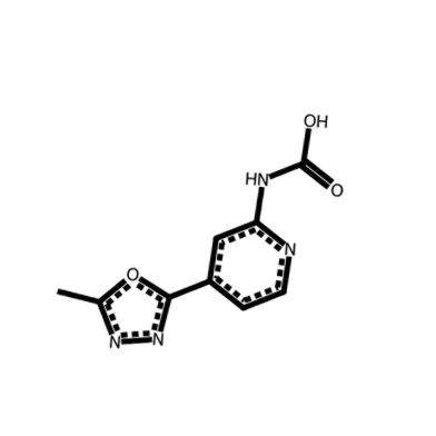 Cc1nnc(-c2ccnc(NC(=O)O)c2)o1